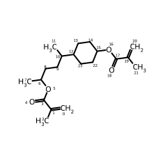 C=C(C)C(=O)OC(C)CCC(C)C1CCC(OC(=O)C(=C)C)CC1